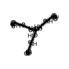 CCC(COCCC(=O)NCCCCCCCC(=O)NCCCCCCCC(=O)ON1C(=O)CCC1=O)(COCCC(=O)NCCCCCCCC(=O)NCCCCCCCC(=O)ON1C(=O)CCC1=O)COCCC(=O)NCCCCCCCC(=O)NCCCCCCCC(=O)ON1C(=O)CCC1=O